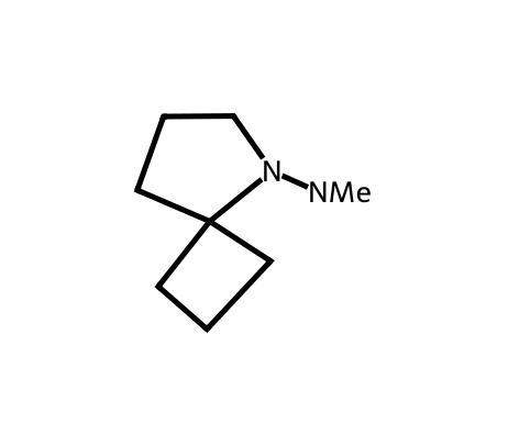 CNN1CCCC12CCC2